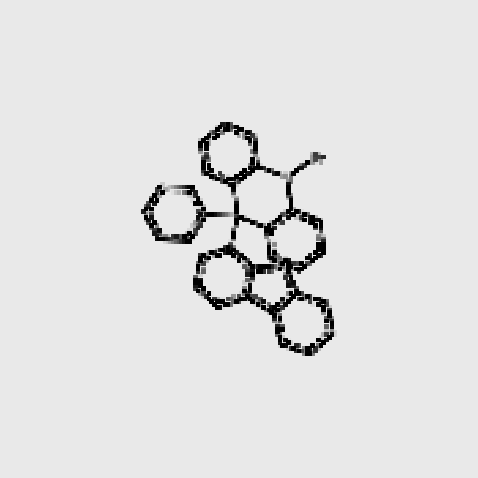 CC(C)N1c2ccccc2C(c2ccccc2)(c2cccc3c2oc2ccccc23)c2ccccc21